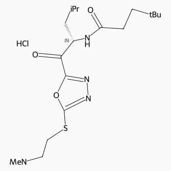 CNCCSc1nnc(C(=O)[C@H](CC(C)C)NC(=O)CCC(C)(C)C)o1.Cl